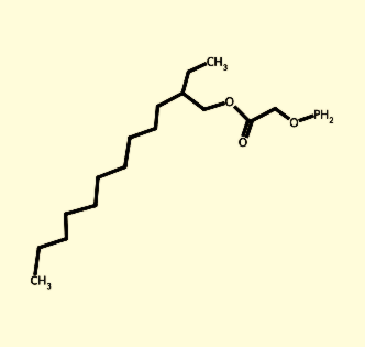 CCCCCCCCCCC(CC)COC(=O)COP